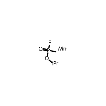 CC(C)OP(C)(=O)F.[Mn]